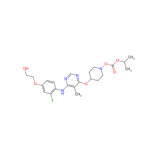 Cc1c(Nc2ccc(OCCO)cc2F)ncnc1OC1CCN(OC(=O)OC(C)C)CC1